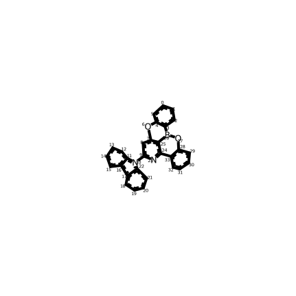 c1ccc2c(c1)Oc1cc(-n3c4ccccc4c4ccccc43)nc3c1B2Oc1ccccc1-3